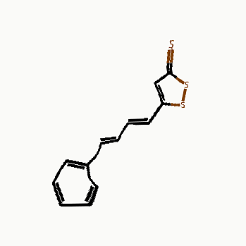 S=c1cc(C=CC=Cc2ccccc2)ss1